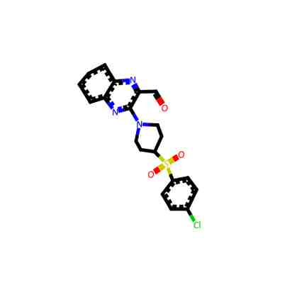 O=Cc1nc2ccccc2nc1N1CCC(S(=O)(=O)c2ccc(Cl)cc2)CC1